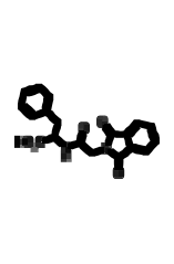 O=C(CN1C(=O)c2ccccc2C1=O)NC(Cc1ccccc1)C(=O)O